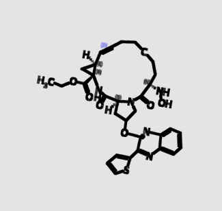 CCOC(=O)[C@@]12C[C@H]1/C=C\CCCCC[C@H](NO)C(=O)N1CC(Oc3nc4ccccc4nc3-c3cccs3)C[C@H]1C(=O)N2